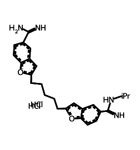 CC(C)NC(=N)c1ccc2oc(CCCCCc3cc4cc(C(=N)N)ccc4o3)cc2c1.Cl.Cl